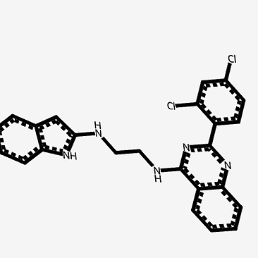 Clc1ccc(-c2nc(NCCNc3cc4ccccc4[nH]3)c3ccccc3n2)c(Cl)c1